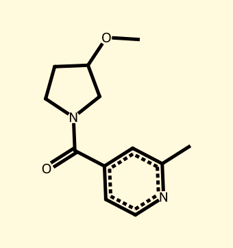 COC1CCN(C(=O)c2ccnc(C)c2)C1